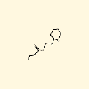 CCCC(=O)CCOC1CCCCO1